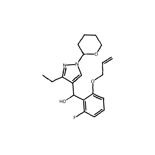 C=CCOc1cccc(F)c1C(O)c1cn(C2CCCCO2)nc1CC